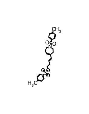 Cc1ccc(S(=O)(=O)OCCC=CC2=CCCN(S(=O)(=O)c3ccc(C)cc3)CC2)cc1